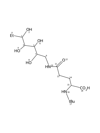 CCC(O)C(O)C(O)C(O)CNC(=O)CCC(NC(C)(C)C)C(=O)O